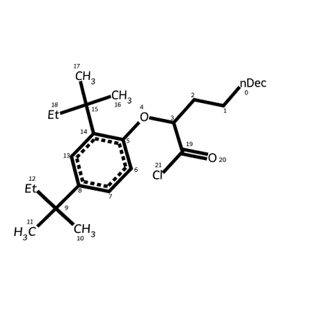 CCCCCCCCCCCCC(Oc1ccc(C(C)(C)CC)cc1C(C)(C)CC)C(=O)Cl